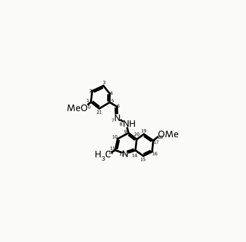 COc1cccc(/C=N/Nc2cc(C)nc3ccc(OC)cc23)c1